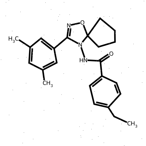 CCc1ccc(C(=O)NN2C(c3cc(C)cc(C)c3)=NOC23CCCC3)cc1